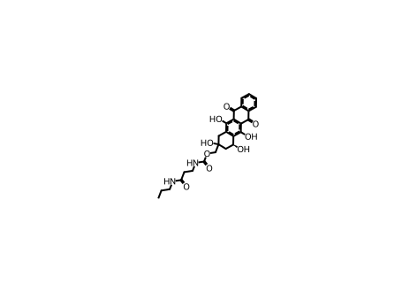 CCCNC(=O)CCNC(=O)OCC1(O)Cc2c(O)c3c(c(O)c2[C@@H](O)C1)C(=O)c1ccccc1C3=O